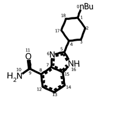 CCCCC1CCC(c2nc3c(C(N)=O)cccc3[nH]2)CC1